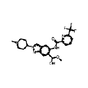 COC(O)c1cc2nn(C3CCN(C)CC3)cc2cc1NC(=O)c1cccc(C(F)(F)F)n1